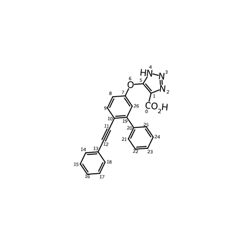 O=C(O)c1nn[nH]c1Oc1ccc(C#Cc2ccccc2)c(-c2ccccc2)c1